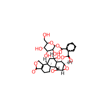 CC(C)[C@]12O[C@H]1[C@@H]1O[C@]13[C@]1(O[C@H]1C[C@H]1C4=C(CC[C@@]13C)C(=O)OC4)[C@@H]2OC(=O)c1ccccc1C(=O)O[C@@H]1OC(CO)[C@@H](O)[C@H](O)C1O